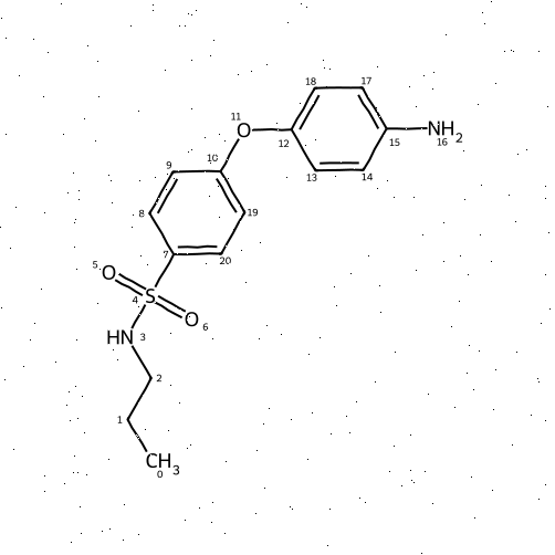 CCCNS(=O)(=O)c1ccc(Oc2ccc(N)cc2)cc1